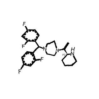 C=C([C@@H]1CCCCN1)N1CCN(C(c2ccc(F)cc2F)c2ccc(F)cc2F)CC1